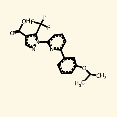 CC(C)Oc1cccc(-c2cccc(-n3ncc(C(=O)O)c3C(F)(F)F)n2)c1